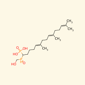 CC(C)=CCC/C(C)=C/CC/C(C)=C/CCCC([PH](=O)CO)P(=O)(O)O